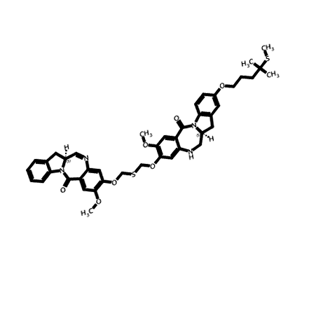 COc1cc2c(cc1OCSCOc1cc3c(cc1OC)C(=O)N1c4ccc(OCCCC(C)(C)SC)cc4C[C@H]1CN3)N=C[C@@H]1Cc3ccccc3N1C2=O